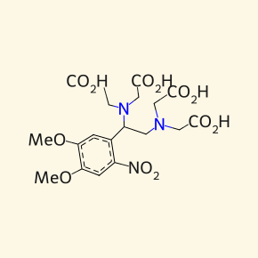 COc1cc(C(CN(CC(=O)O)CC(=O)O)N(CC(=O)O)CC(=O)O)c([N+](=O)[O-])cc1OC